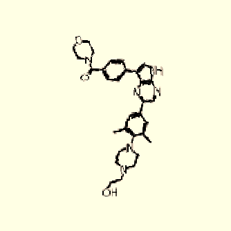 Cc1cc(-c2cnc3[nH]cc(-c4ccc(C(=O)N5CCOCC5)cc4)c3n2)cc(C)c1N1CCN(CCO)CC1